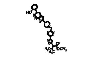 COC(=O)C(c1cc(-c2cnc(CN3CCC(c4cc5cc(-c6ccccc6O)nnc5s4)CC3)nc2)no1)C(C)C